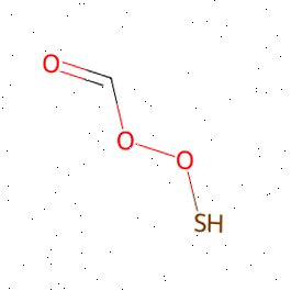 O=COOS